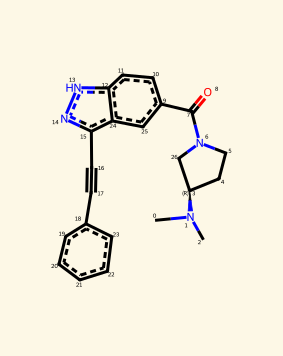 CN(C)[C@@H]1CCN(C(=O)c2ccc3[nH]nc(C#Cc4ccccc4)c3c2)C1